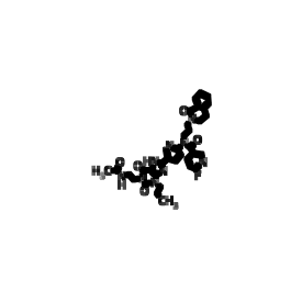 CCCn1c(=O)n(CCNC(C)=O)c(=O)c2[nH]c(-c3ccc(N(CCCN4CCc5ccccc5C4=O)C(=O)c4ccc(F)nc4)nc3)nc21